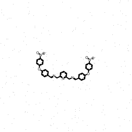 O=[N+]([O-])c1ccc(Oc2ccc(C=NCc3cccc(CN=Cc4ccc(Oc5ccc([N+](=O)[O-])cc5)cc4)n3)cc2)cc1